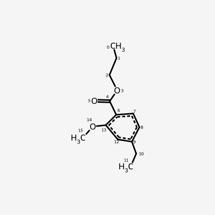 CCCOC(=O)c1ccc(CC)cc1OC